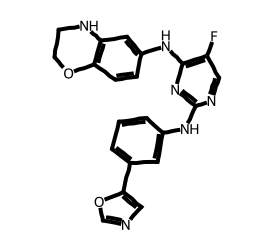 Fc1cnc(Nc2cccc(-c3cnco3)c2)nc1Nc1ccc2c(c1)NCCO2